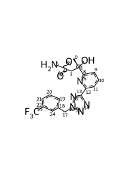 C[C@](O)(CS(N)(=O)=O)c1cccc(-c2nnn(Cc3cccc(C(F)(F)F)c3)n2)n1